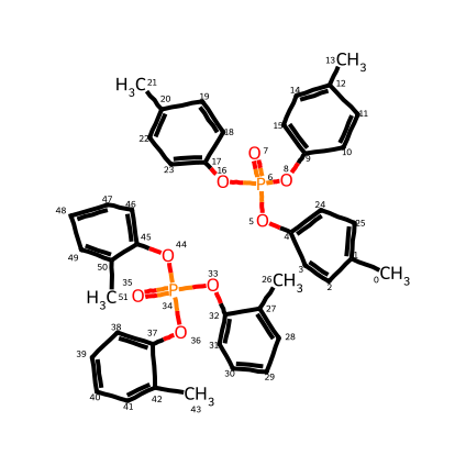 Cc1ccc(OP(=O)(Oc2ccc(C)cc2)Oc2ccc(C)cc2)cc1.Cc1ccccc1OP(=O)(Oc1ccccc1C)Oc1ccccc1C